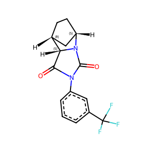 O=C1[C@@H]2[C@@H]3CC[C@@H](C3)N2C(=O)N1c1cccc(C(F)(F)F)c1